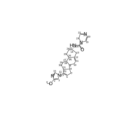 COc1cn(C2=CCC3C4CC=C5C[C@@H](NC(=O)N6C=CN=CC6)CC[C@]5(C)C4CC[C@]23C)cn1